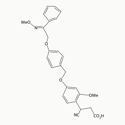 CON=C(COc1ccc(COc2ccc(C(C#N)CC(=O)O)c(OC)c2)cc1)c1ccccc1